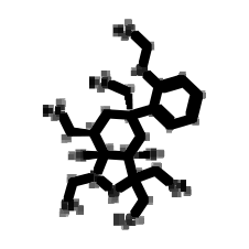 CCOc1ccccc1[C@]1(CC)C[C@H](CC)[C@@H]2[C@@H](C1)C(CC)(CC)ON2CC